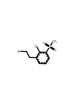 CS(=O)(=O)c1cccc(CCBr)c1Cl